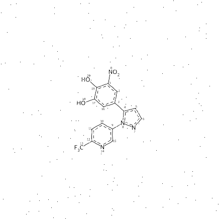 O=[N+]([O-])c1cc(-c2ccnn2-c2ccc(C(F)(F)F)nc2)cc(O)c1O